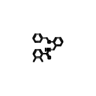 Cc1cccc(C(=O)NCc2ccccc2OCc2ccccc2)c1C